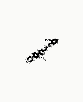 COc1ccccc1CNC(=O)Cc1ccc(-c2ccc(N3CCOCC3)cc2C)cn1